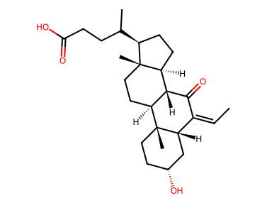 CC=C1C(=O)[C@@H]2[C@H](CC[C@]3(C)[C@@H](C(C)CCC(=O)O)CC[C@@H]23)[C@@]2(C)CC[C@@H](O)C[C@@H]12